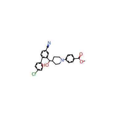 COC(=O)c1ccc(N2CCC(C(O)c3cc(C#N)ccc3-c3ccc(Cl)cc3)CC2)cc1